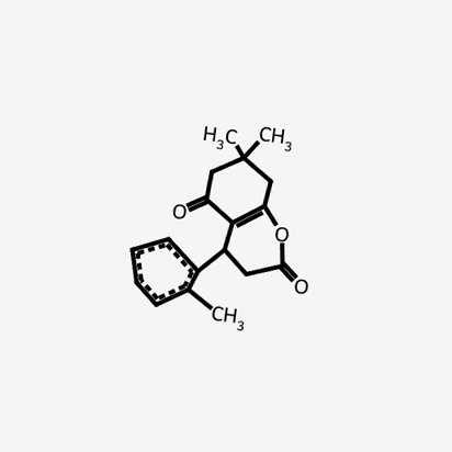 Cc1ccccc1C1CC(=O)OC2=C1C(=O)CC(C)(C)C2